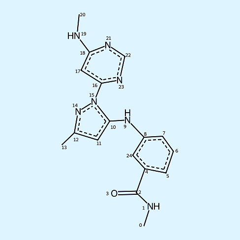 CNC(=O)c1cccc(Nc2cc(C)nn2-c2cc(NC)ncn2)c1